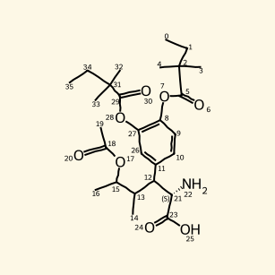 CCC(C)(C)C(=O)Oc1ccc(C(C(C)C(C)OC(C)=O)[C@H](N)C(=O)O)cc1OC(=O)C(C)(C)CC